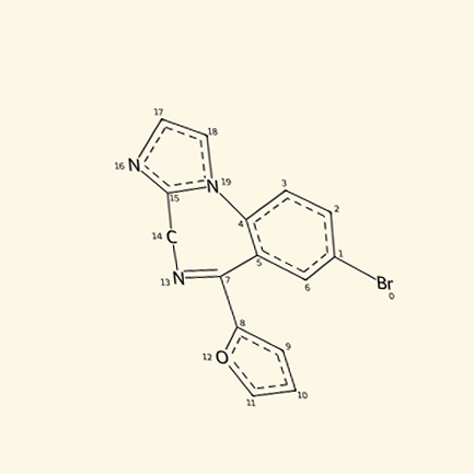 Brc1ccc2c(c1)C(c1ccco1)=NCc1nccn1-2